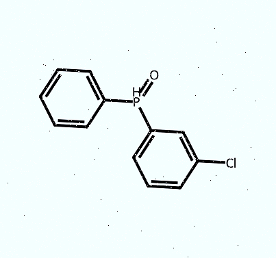 O=[PH](c1ccccc1)c1cccc(Cl)c1